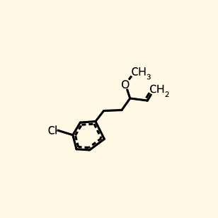 C=CC(CCc1cccc(Cl)c1)OC